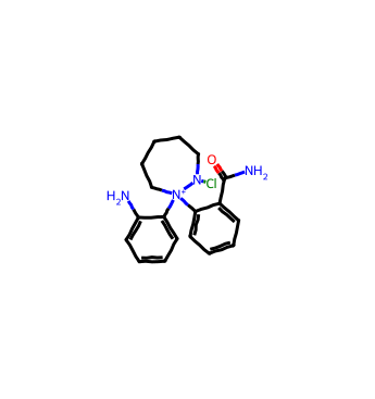 NC(=O)c1ccccc1[N+]1(c2ccccc2N)CCCCCN1Cl